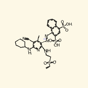 C=CS(=O)(=O)CCNc1nc(NC2CCCCC2)c(C#N)c(C)c1/N=N/c1c(S(=O)(=O)O)cc(S(=O)(=O)O)c2ccccc12